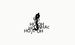 CC(=O)N[C@@H]1C(O)C[C@@](O)(C(=O)O)OC1[C@H](O)[C@H](O)COS(=O)(=O)c1ccc(C)cc1